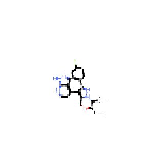 CC1OCc2c(-c3ccnc4[nH]ncc34)c(-c3ccc(F)cc3)nn2C1C